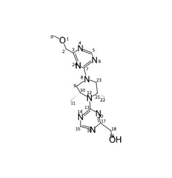 COCc1ncnc(N2C[C@@H](C)N(c3ncnc(CO)n3)[C@@H](C)C2)n1